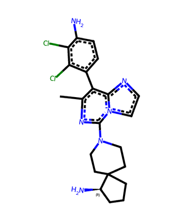 Cc1nc(N2CCC3(CCC[C@H]3N)CC2)n2ccnc2c1-c1ccc(N)c(Cl)c1Cl